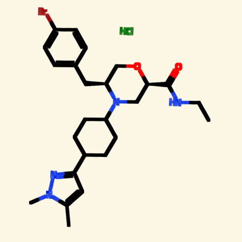 CCNC(=O)[C@H]1CN(C2CCC(c3cc(C)n(C)n3)CC2)[C@@H](Cc2ccc(Br)cc2)CO1.Cl